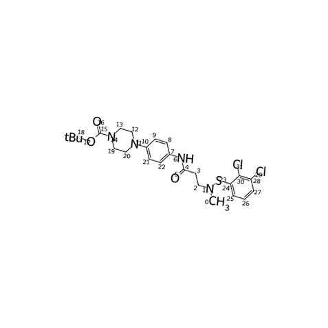 CN(CCC(=O)Nc1ccc(N2CCN(C(=O)OC(C)(C)C)CC2)cc1)Sc1cccc(Cl)c1Cl